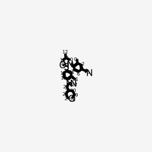 Cc1cc(C#N)ccc1N(CC(C)C)[S+]([O-])c1ccc2c(cnn2CC2CCOCC2)c1